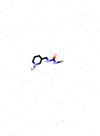 CCN1CCCC(CNC(=O)NC(C)C)C1